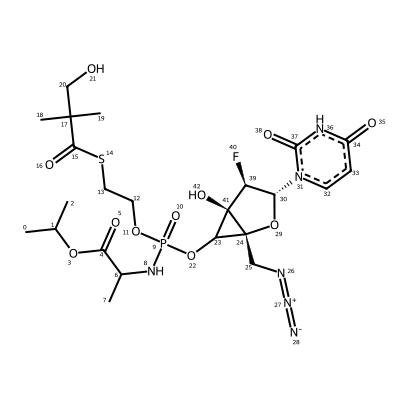 CC(C)OC(=O)C(C)NP(=O)(OCCSC(=O)C(C)(C)CO)OC1[C@@]2(CN=[N+]=[N-])O[C@@H](n3ccc(=O)[nH]c3=O)[C@H](F)[C@@]12O